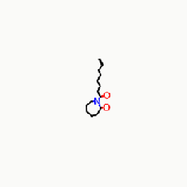 C=CCCCCCC(=O)N1CCCCCC1=O